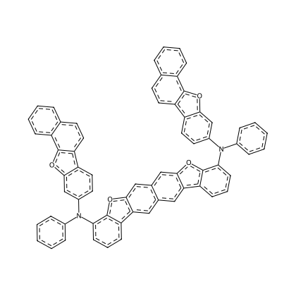 c1ccc(N(c2ccc3c(c2)oc2c4ccccc4ccc32)c2cccc3c2oc2cc4cc5oc6c(N(c7ccccc7)c7ccc8c(c7)oc7c9ccccc9ccc87)cccc6c5cc4cc23)cc1